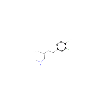 CNC(CCc1ccc(Cl)c(Cl)c1)CN(C)C